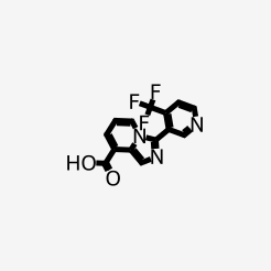 O=C(O)c1cccn2c(-c3cnccc3C(F)(F)F)ncc12